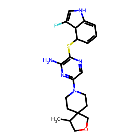 CC1COCC12CCN(c1cnc(SC3C=CC=C4NC=C(F)C43)c(N)n1)CC2